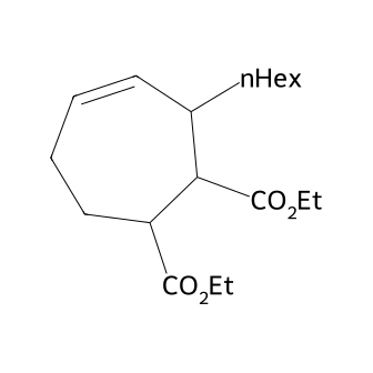 CCCCCCC1C=CCCC(C(=O)OCC)C1C(=O)OCC